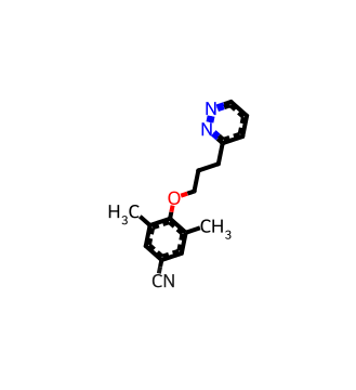 Cc1cc(C#N)cc(C)c1OCCCc1cccnn1